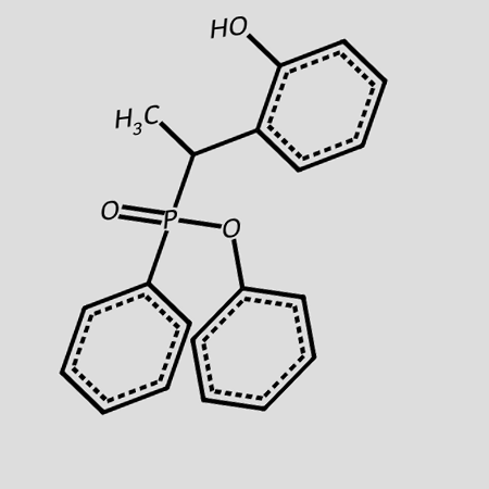 CC(c1ccccc1O)P(=O)(Oc1ccccc1)c1ccccc1